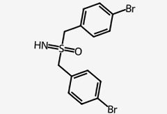 N=S(=O)(Cc1ccc(Br)cc1)Cc1ccc(Br)cc1